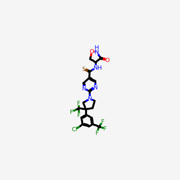 O=C1NOCC1NC(=S)c1cnc(N2CCC(c3cc(Cl)cc(C(F)(F)F)c3)(C(F)(F)F)C2)nc1